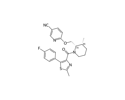 Cc1nc(C(=O)N2CCC[C@@H](C)[C@H]2COc2ccc(C#N)cn2)c(-c2ccc(F)cc2)s1